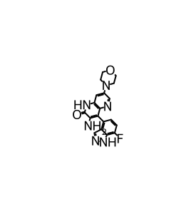 Nc1c(-c2ccc(F)c3[nH]ncc23)c2ncc(N3CCOCC3)cc2[nH]c1=O